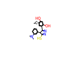 CCc1cc(C2=NN=C(S)C2c2cccc(N(C)C)c2)c(O)cc1O